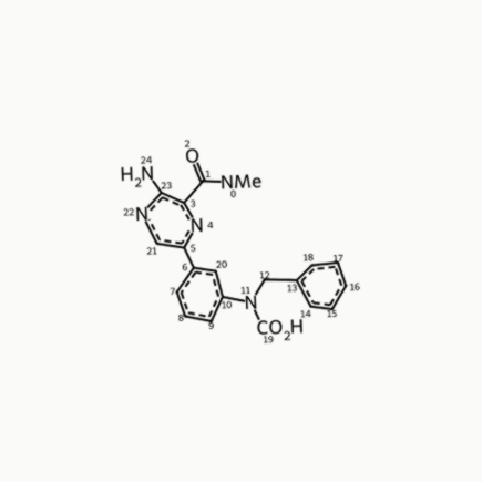 CNC(=O)c1nc(-c2cccc(N(Cc3ccccc3)C(=O)O)c2)cnc1N